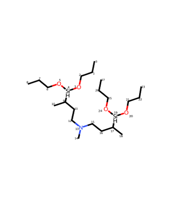 CCCO[SiH](OCCC)C(C)CCN(C)CCC(C)[SiH](OCCC)OCCC